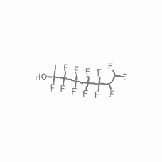 OC(F)(I)C(F)(F)C(F)(F)C(F)(F)C(F)(F)C(F)C(F)F